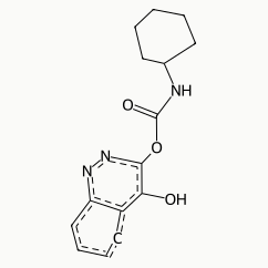 O=C(NC1CCCCC1)Oc1nnc2ccccc2c1O